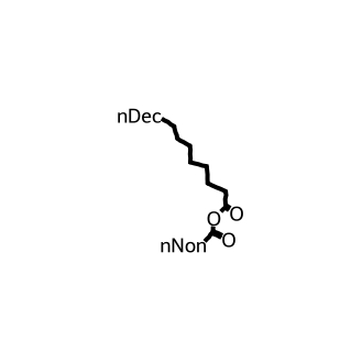 CCCCCCCCCCCCCCCCCC(=O)OC(=O)CCCCCCCCC